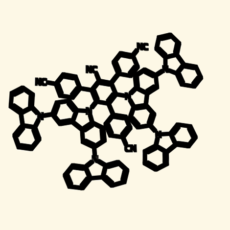 [C-]#[N+]c1ccc(-c2c(C#N)c(-c3ccc(C#N)cc3)c(-n3c4ccc(-n5c6ccccc6c6ccccc65)cc4c4cc(-n5c6ccccc6c6ccccc65)ccc43)c(-c3ccc(C#N)cc3)c2-n2c3ccc(-n4c5ccccc5c5ccccc54)cc3c3cc(-n4c5ccccc5c5ccccc54)ccc32)cc1